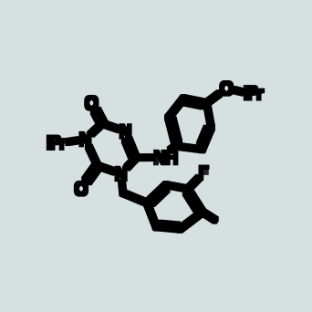 Cc1ccc(Cn2c(Nc3ccc(OC(C)C)cc3)nc(=O)n(C(C)C)c2=O)cc1F